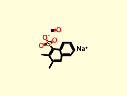 C=O.Cc1cc2ccccc2c(S(=O)(=O)[O-])c1C.[Na+]